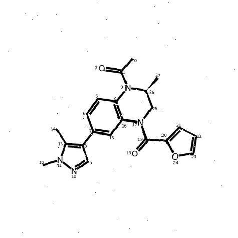 CC(=O)N1c2ccc(-c3cnn(C)c3C)cc2N(C(=O)c2ccco2)C[C@@H]1C